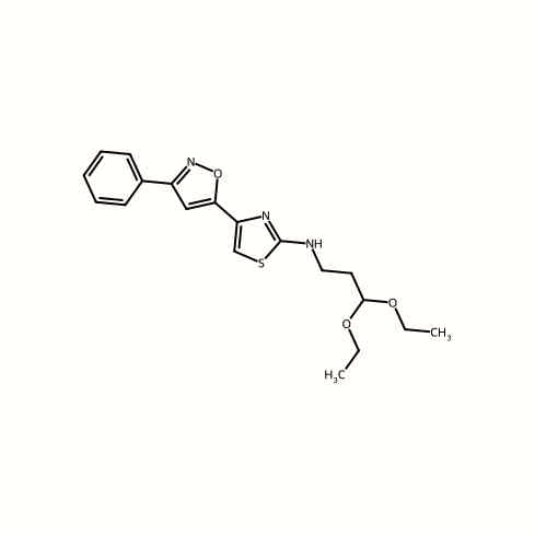 CCOC(CCNc1nc(-c2cc(-c3ccccc3)no2)cs1)OCC